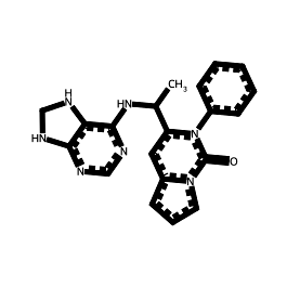 CC(Nc1ncnc2c1NCN2)c1cc2cccn2c(=O)n1-c1ccccc1